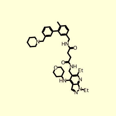 CCc1nc2c(cnn2CC)c(NC2CCOCC2)c1CNC(=O)CCC(=O)NCc1ccc(C)c(-c2cccc(CN3CCCCC3)c2)c1